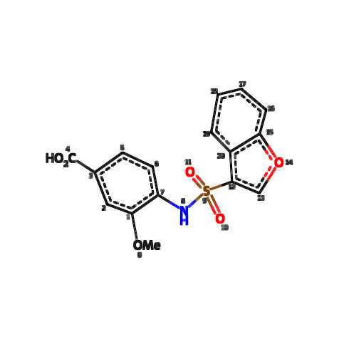 COc1cc(C(=O)O)ccc1NS(=O)(=O)c1coc2ccccc12